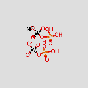 O=P(O)(O)[O][W](=[O])(=[O])[O-].O=P(O)(O)[O][W](=[O])(=[O])[O-].[Ni+2]